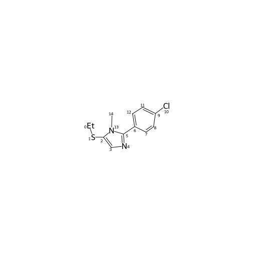 CCSc1cnc(-c2ccc(Cl)cc2)n1C